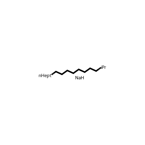 [CH2]CCCCCCCCCCCCCCC(C)C.[NaH]